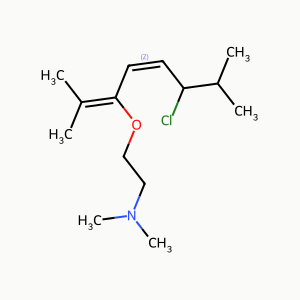 CC(C)=C(/C=C\C(Cl)C(C)C)OCCN(C)C